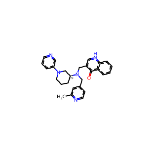 Cc1cc(CN(Cc2c[nH]c3ccccc3c2=O)[C@H]2CCCN(c3cccnc3)C2)ccn1